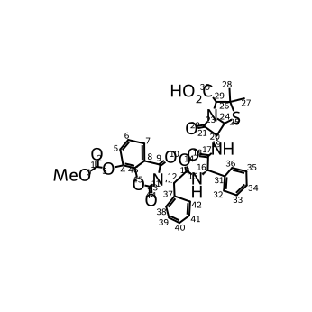 COC(=O)Oc1cccc2c(=O)n([C@H](C(=O)N[C@@H](C(=O)N[C@@H]3C(=O)N4C3SC(C)(C)C4C(=O)O)c3ccccc3)c3ccccc3)c(=O)oc12